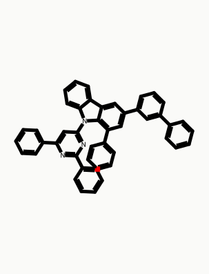 c1ccc(-c2cccc(-c3cc(-c4ccccc4)c4c(c3)c3ccccc3n4-c3cc(-c4ccccc4)nc(-c4ccccc4)n3)c2)cc1